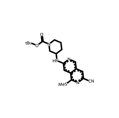 CSc1nc(C#N)cc2cnc(NC3CCCN(C(=O)OC(C)(C)C)C3)cc12